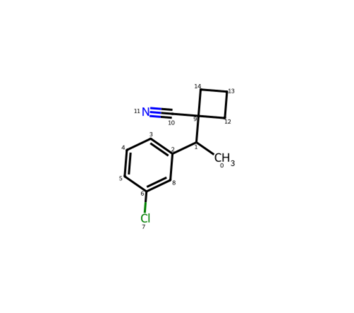 CC(c1cccc(Cl)c1)C1(C#N)CCC1